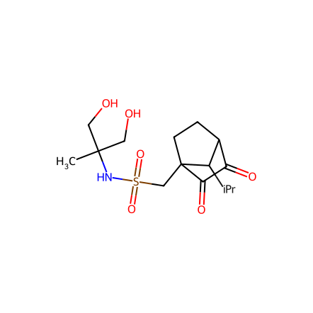 CC(C)C1C2CCC1(CS(=O)(=O)NC(C)(CO)CO)C(=O)C2=O